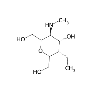 CC[C@@H]1C(CO)OC(CO)[C@@H](NC)[C@@H]1O